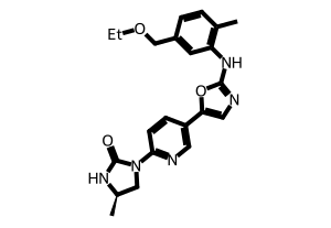 CCOCc1ccc(C)c(Nc2ncc(-c3ccc(N4C[C@@H](C)NC4=O)nc3)o2)c1